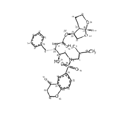 CC(C)CN(C[C@@H](O)[C@H](Cc1ccccc1)NC(=O)O[C@@H]1CO[C@H]2OCCC21)S(=O)(=O)c1ccc2c(c1)C(=O)CCO2